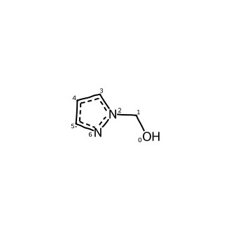 OCn1cc[c]n1